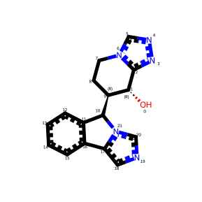 O[C@H]1c2nncn2CC[C@@H]1C1c2ccccc2-c2cncn21